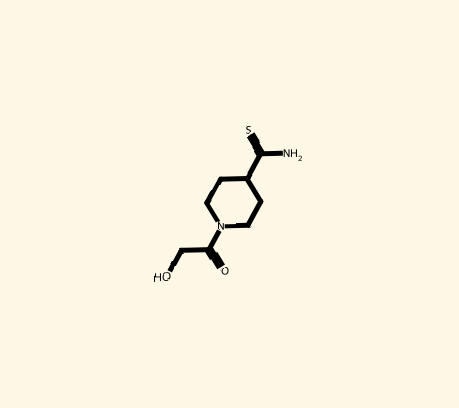 NC(=S)C1CCN(C(=O)CO)CC1